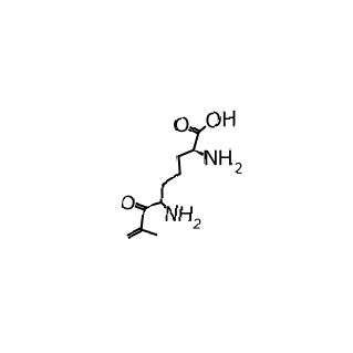 C=C(C)C(=O)C(N)CCC[C@H](N)C(=O)O